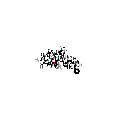 CC[C@H](C)[C@@H]([C@@H](CC(=O)N1CCC[C@H]1[C@H](OC)[C@@H](C)C(=O)N[C@H](C)[C@@H](O)c1ccccc1)OC)N(C)C(=O)[C@@H](NC(=O)[C@H](C(C)C)N(C)C(=O)OCC(C)(C)SSc1nc2c(N)ncnc2[nH]1)C(C)C